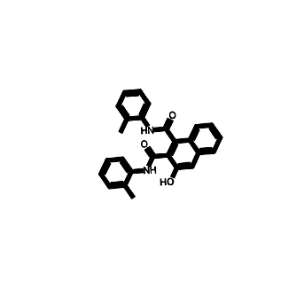 Cc1ccccc1NC(=O)c1c(O)cc2ccccc2c1C(=O)Nc1ccccc1C